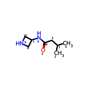 CC(C)CC(=O)NC1CNC1